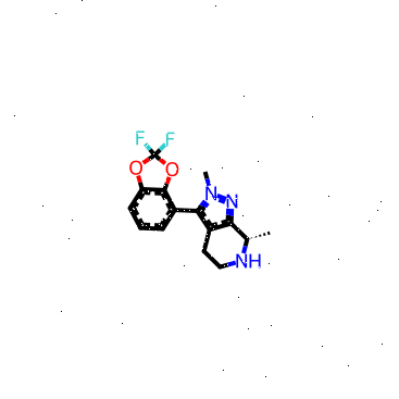 C[C@@H]1NCCc2c1nn(C)c2-c1cccc2c1OC(F)(F)O2